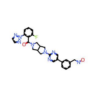 O=NCc1cccc(-c2cnc(N3CC4CN(C(=O)c5c(F)cccc5-n5nccn5)CC4C3)nc2)c1